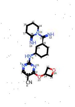 N#Cc1cnc(NC2CCC[C@H](C(=N)N3CCCCC3=N)C2)nc1OC1COC1